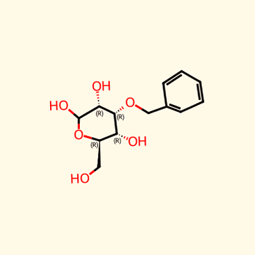 OC[C@H]1OC(O)[C@H](O)[C@H](OCc2ccccc2)[C@@H]1O